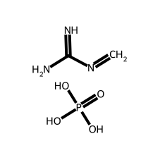 C=NC(=N)N.O=P(O)(O)O